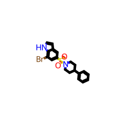 O=S(=O)(c1cc(Br)c2[nH]ccc2c1)N1CCC(c2ccccc2)CC1